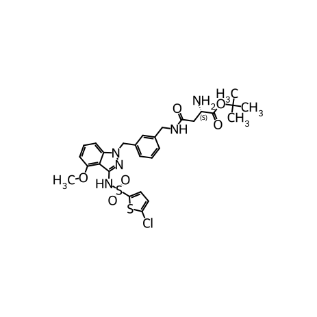 COc1cccc2c1c(NS(=O)(=O)c1ccc(Cl)s1)nn2Cc1cccc(CNC(=O)C[C@H](N)C(=O)OC(C)(C)C)c1